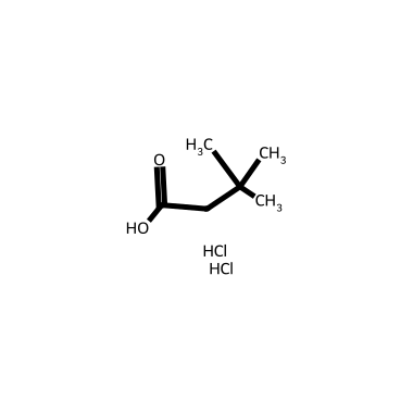 CC(C)(C)CC(=O)O.Cl.Cl